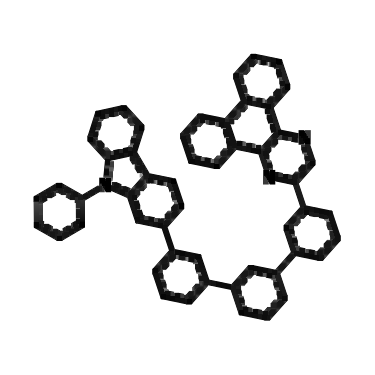 c1ccc(-n2c3ccccc3c3ccc(-c4cccc(-c5cccc(-c6cccc(-c7cnc8c9ccccc9c9ccccc9c8n7)c6)c5)c4)cc32)cc1